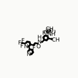 C#Cc1cc(CNC(=O)C=Cc2ccc(C(F)(F)F)nc2-c2cnccc2F)cc(F)c1NS(C)(=O)=O